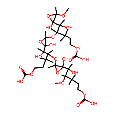 COC1(C)OC1(O)C(C)(O)C(C)(OC1(C)OC1(O)C(C)(O)C(C)(OC1(C)OC1(O)C(C)(O)C(C)(OC)C(C)(C)CCOC(=O)O)C(C)(C)CCOC(=O)O)C(C)(C)CCOC(=O)O